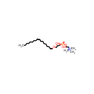 CCCCCCCC/C=C\CCCCCC/C=C\OC[C@@H](O)COP(=O)(O)OCC[N+](C)(C)C